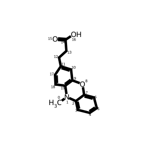 CN1c2ccccc2Oc2cc(CCC(=O)O)ccc21